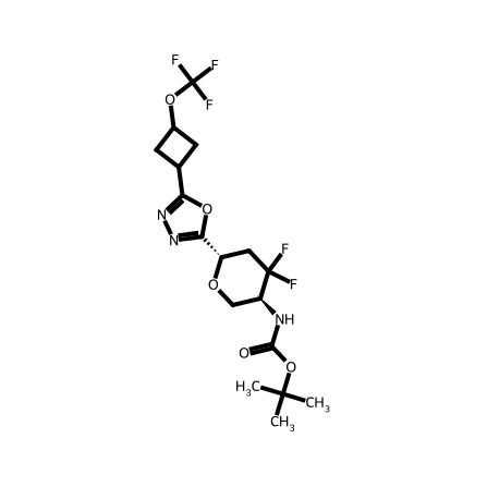 CC(C)(C)OC(=O)N[C@H]1CO[C@H](c2nnc(C3CC(OC(F)(F)F)C3)o2)CC1(F)F